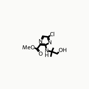 COC(=O)c1ncc(Cl)nc1NC(C)(C)CO